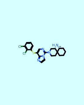 N[C@@H]1CCCCC12CCN(c1ncc(Sc3cccc(Cl)c3Cl)c3nccn13)CC2